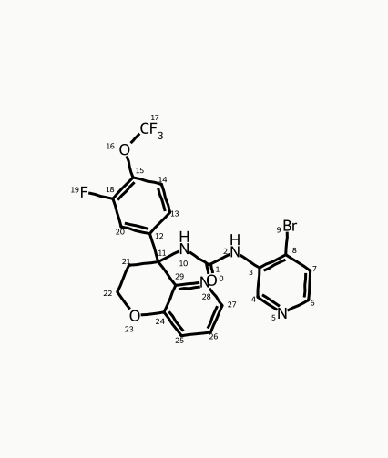 O=C(Nc1cnccc1Br)NC1(c2ccc(OC(F)(F)F)c(F)c2)CCOc2cccnc21